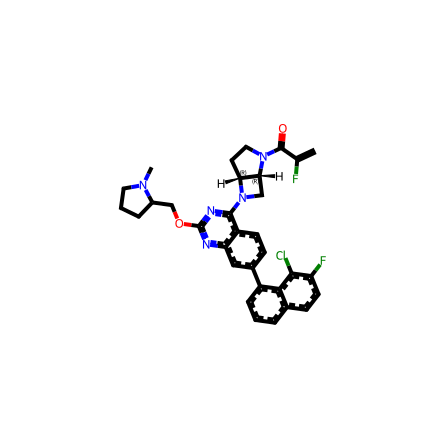 C=C(F)C(=O)N1CC[C@@H]2[C@H]1CN2c1nc(OCC2CCCN2C)nc2cc(-c3cccc4ccc(F)c(Cl)c34)ccc12